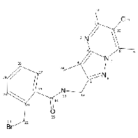 Cc1nc2c3c(nn2c(C)c1Cl)CN(C(=O)c1ccccc1CBr)C3